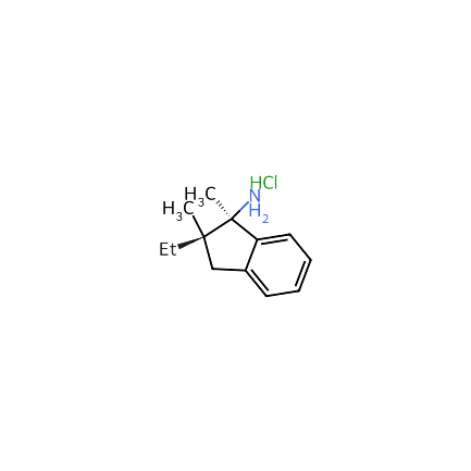 CC[C@]1(C)Cc2ccccc2[C@]1(C)N.Cl